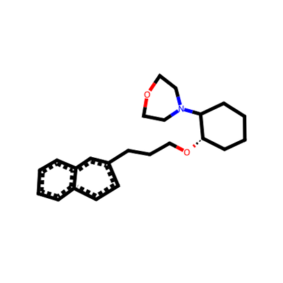 c1ccc2cc(CCCO[C@H]3CCCCC3N3CCOCC3)ccc2c1